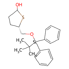 CC(C)(C)[Si](OC[C@@H]1CCC(O)S1)(c1ccccc1)c1ccccc1